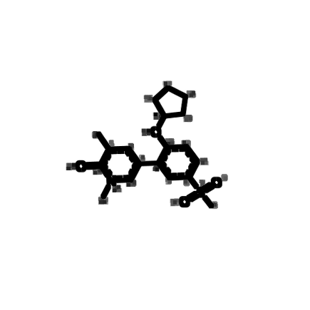 Cc1cc(-c2cc(S(C)(=O)=O)ccc2OC2CCCC2)cn(C)c1=O